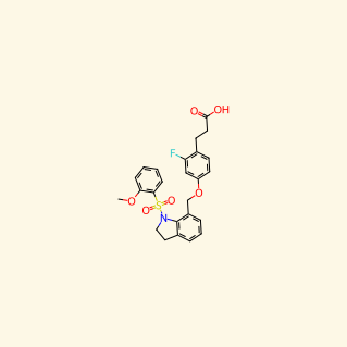 COc1ccccc1S(=O)(=O)N1CCc2cccc(COc3ccc(CCC(=O)O)c(F)c3)c21